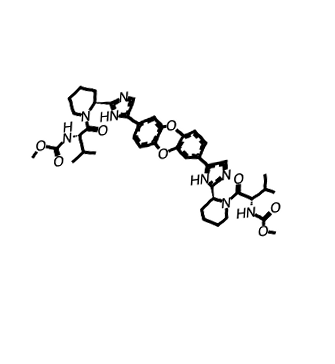 COC(=O)N[C@H](C(=O)N1CCCC[C@H]1c1ncc(-c2ccc3c(c2)Oc2ccc(-c4cnc([C@@H]5CCCCN5C(=O)[C@@H](NC(=O)OC)C(C)C)[nH]4)cc2O3)[nH]1)C(C)C